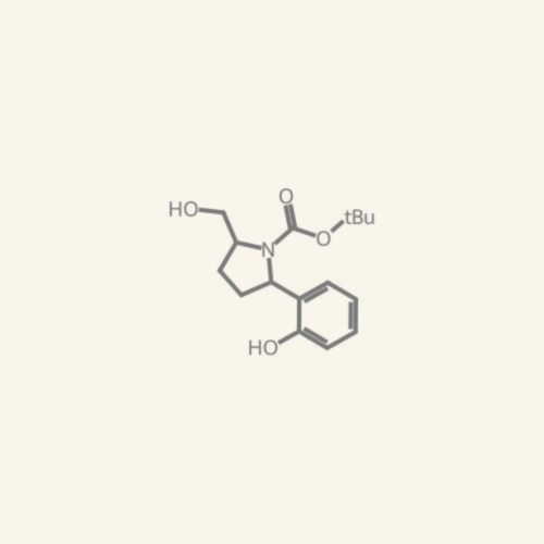 CC(C)(C)OC(=O)N1C(CO)CCC1c1ccccc1O